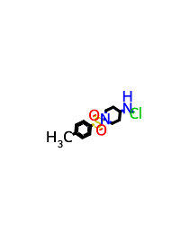 Cc1ccc(S(=O)(=O)N2CCC(NCl)CC2)cc1